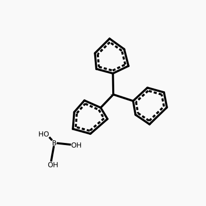 OB(O)O.c1ccc([C](c2ccccc2)c2ccccc2)cc1